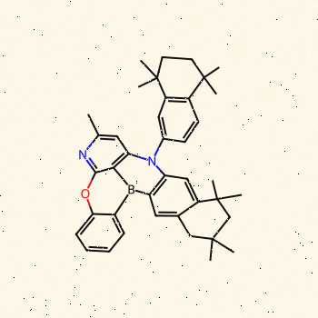 Cc1cc2c3c(n1)Oc1ccccc1B3c1cc3c(cc1N2c1ccc2c(c1)C(C)(C)CCC2(C)C)C(C)(C)CC(C)(C)C3